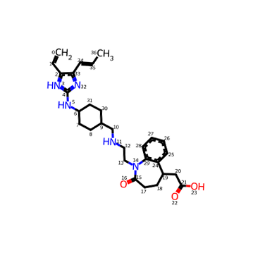 C=Cc1[nH]c(NC2CCC(CNCCN3C(=O)CCC(CC(=O)O)c4ccccc43)CC2)nc1C=CC